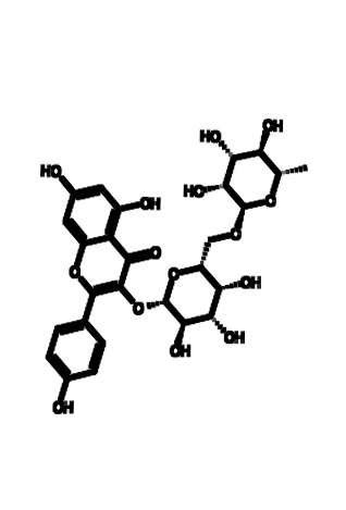 C[C@@H]1O[C@@H](OC[C@H]2O[C@@H](Oc3c(-c4ccc(O)cc4)oc4cc(O)cc(O)c4c3=O)[C@H](O)[C@@H](O)[C@H]2O)[C@H](O)[C@H](O)[C@H]1O